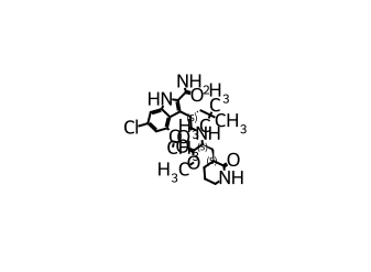 COC(=O)[C@H](C[C@@H]1CCCNC1=O)NC(=O)[C@@H](CC(C)(C)C)c1c(C(N)=O)[nH]c2cc(Cl)cc(OC)c12